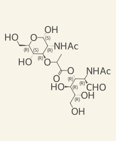 CC(=O)N[C@@H]1[C@@H](OC(C)C(=O)O[C@@H]([C@H](O)[C@H](O)CO)[C@H](C=O)NC(C)=O)[C@H](O)[C@@H](CO)O[C@@H]1O